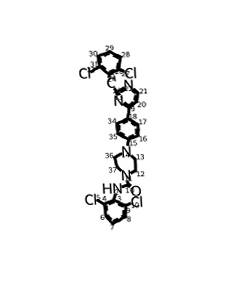 O=C(Nc1c(Cl)cccc1Cl)N1CCN(c2ccc(-c3ccnc(Cc4c(Cl)cccc4Cl)n3)cc2)CC1